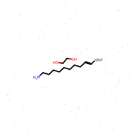 CCCCCCCCC=CCCCCCCCCN.OCCO